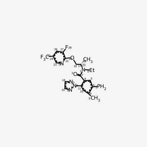 CCN(C(=O)c1cc(P)c(C)cc1-n1nccn1)[C@@H](C)COc1ncc(C(F)(F)F)cc1F